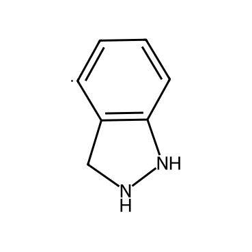 [c]1cccc2c1CNN2